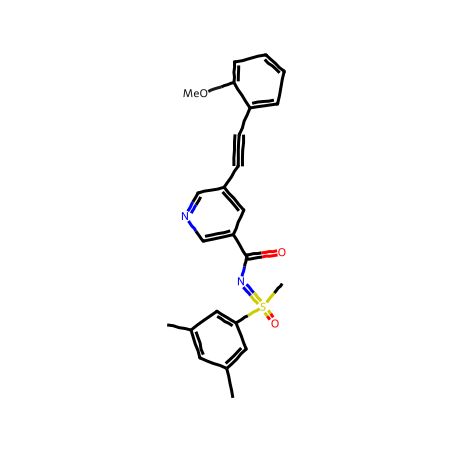 COc1ccccc1C#Cc1cncc(C(=O)N=S(C)(=O)c2cc(C)cc(C)c2)c1